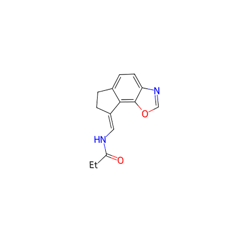 CCC(=O)N/C=C1\CCc2ccc3ncoc3c21